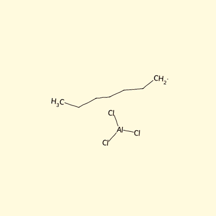 [CH2]CCCCCC.[Cl][Al]([Cl])[Cl]